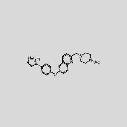 CC(=O)N1CCN(Cc2ccc3cc(Oc4ccc(-c5ccn[nH]5)cc4)ccc3n2)CC1